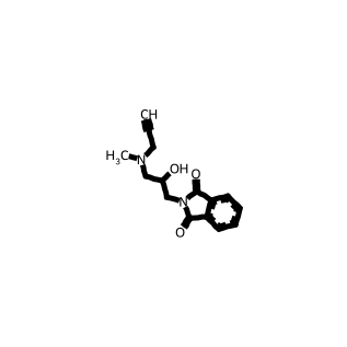 C#CCN(C)CC(O)CN1C(=O)c2ccccc2C1=O